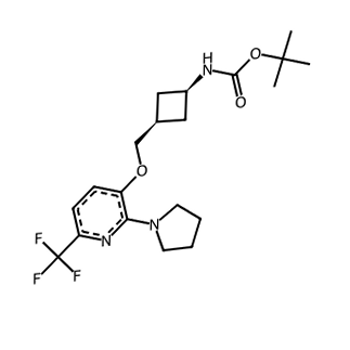 CC(C)(C)OC(=O)N[C@H]1C[C@@H](COc2ccc(C(F)(F)F)nc2N2CCCC2)C1